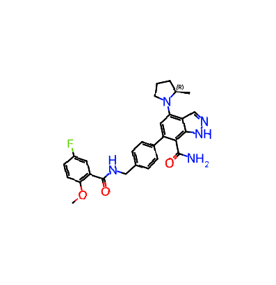 COc1ccc(F)cc1C(=O)NCc1ccc(-c2cc(N3CCC[C@H]3C)c3cn[nH]c3c2C(N)=O)cc1